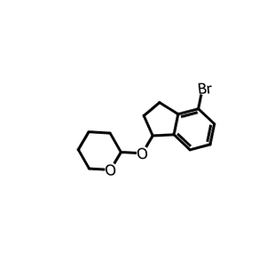 Brc1cccc2c1CCC2OC1CCCCO1